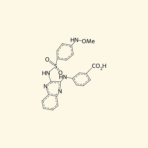 CONc1ccc(S(=O)(=O)Nc2nc3ccccc3nc2Nc2cccc(C(=O)O)c2)cc1